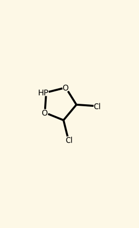 ClC1OPOC1Cl